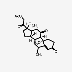 CC(=O)OCC(=O)[C@@]1(O)CC[C@H]2[C@@H]3CC(C)C4=CC(=O)CC[C@]4(C)[C@H]3C(=O)C[C@@]21C